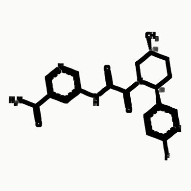 C[C@@H]1CC[C@@H](c2ccc(F)nc2)N(C(=O)C(=O)Nc2cncc(C(N)=O)c2)C1